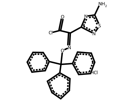 Cl.Nc1nc(C(=NOC(c2ccccc2)(c2ccccc2)c2ccccc2)C(=O)Cl)ns1